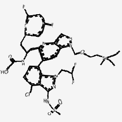 C[Si](C)(C)CCOCn1ncc2nc(C(Cc3cc(F)cc(F)c3)NC(=O)O)c(-c3ccc(Cl)c4c(NS(C)(=O)=O)nn(CC(F)F)c34)cc21